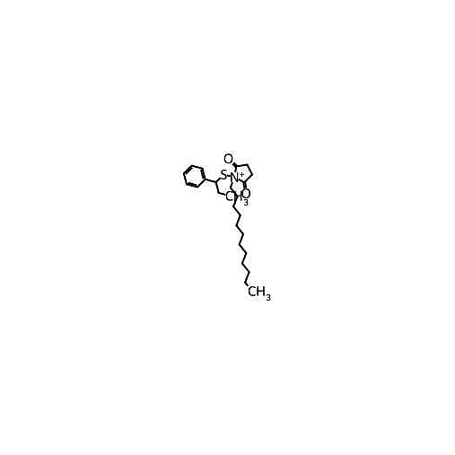 CCCCCCCCCCCC[N+]1(SC(CC)c2ccccc2)C(=O)CCC1=O